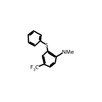 CNc1ccc(C(F)(F)F)cc1Sc1ccccc1